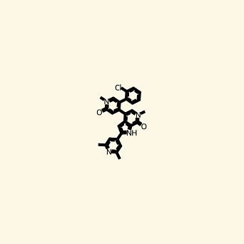 Cc1cc(-c2cc3c(-c4cc(=O)n(C)cc4-c4ccccc4Cl)cn(C)c(=O)c3[nH]2)cc(C)n1